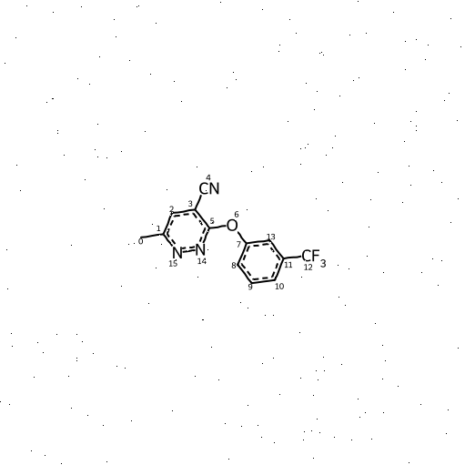 Cc1cc(C#N)c(Oc2cccc(C(F)(F)F)c2)nn1